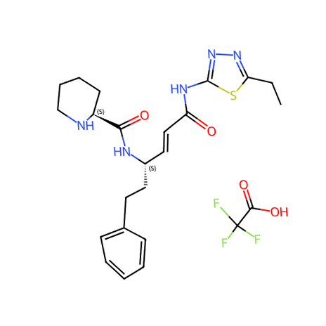 CCc1nnc(NC(=O)C=C[C@H](CCc2ccccc2)NC(=O)[C@@H]2CCCCN2)s1.O=C(O)C(F)(F)F